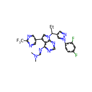 CCC(c1cnn(-c2ccc(F)cc2F)c1)n1cc(-c2cnc(C(F)(F)F)nc2)c2c(N=CN(C)C)ncnc21